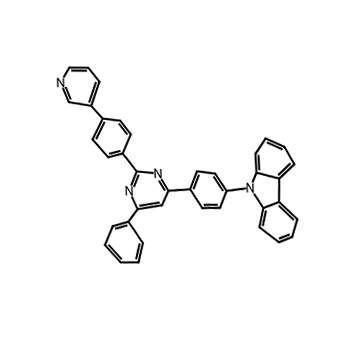 c1ccc(-c2cc(-c3ccc(-n4c5ccccc5c5ccccc54)cc3)nc(-c3ccc(-c4cccnc4)cc3)n2)cc1